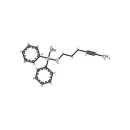 CC#CCCCO[Si](c1ccccc1)(c1ccccc1)C(C)(C)C